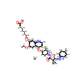 CCOc1cc2c(Oc3ccc(NC(=O)C4(C(=O)Nc5ccc(F)cc5)CC4)cc3F)ccnc2cc1OCCCCCCC(=O)[O-].[Li+]